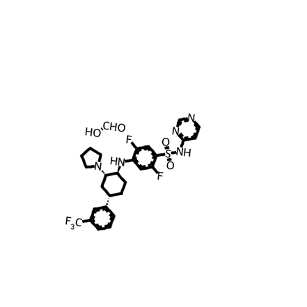 O=CO.O=S(=O)(Nc1ccncn1)c1cc(F)c(N[C@H]2CC[C@H](c3cccc(C(F)(F)F)c3)C[C@@H]2N2CCCC2)cc1F